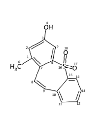 Cc1cc(O)cc2c1C=Cc1ccccc1S2(=O)=O